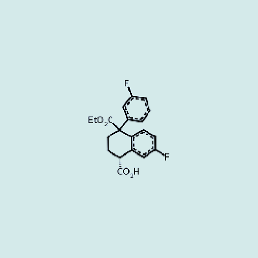 CCOC(=O)C1(c2cccc(F)c2)CC[C@@H](C(=O)O)c2cc(F)ccc21